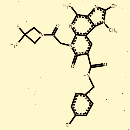 Cc1nc2c(cc(C(=O)NCc3ccc(Cl)cc3)c(=O)n2CC(=O)N2CC(C)(F)C2)c2c1nc(C)n2C